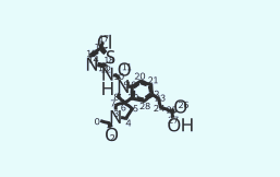 CC(=O)N1CCC2(C1)CN(C(=O)Nc1ncc(Cl)s1)c1ccc(CCC(=O)O)cc12